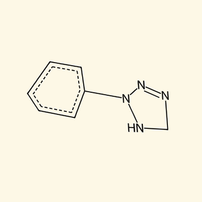 c1ccc(N2N=NCN2)cc1